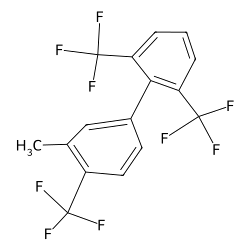 Cc1cc(-c2c(C(F)(F)F)cccc2C(F)(F)F)ccc1C(F)(F)F